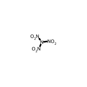 O=[N+]([O-])N([N+](=O)[O-])[N+](=O)[O-]